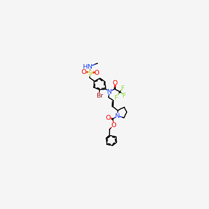 CNS(=O)(=O)Cc1ccc(N(CC=CC2CCCN2C(=O)OCc2ccccc2)C(=O)C(F)(F)F)c(Br)c1